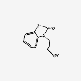 CC(C)CCN1C(=O)CSc2ccccc21